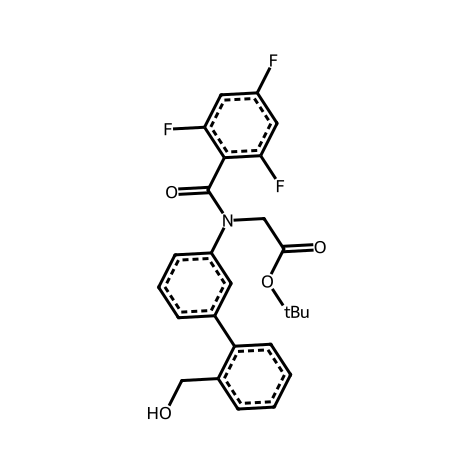 CC(C)(C)OC(=O)CN(C(=O)c1c(F)cc(F)cc1F)c1cccc(-c2ccccc2CO)c1